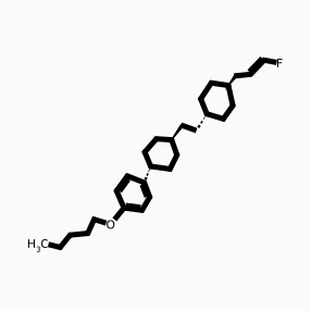 CCCCCOc1ccc([C@H]2CC[C@H](CC[C@H]3CC[C@H](C/C=C/F)CC3)CC2)cc1